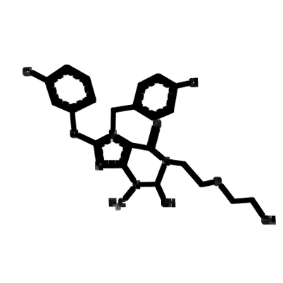 CN1c2nc(Oc3cccc(Cl)c3)n(Cc3ccc(Cl)cc3)c2C(=O)N(CCOCCO)C1O